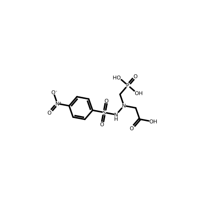 O=C(O)CN(CP(=O)(O)O)NS(=O)(=O)c1ccc([N+](=O)[O-])cc1